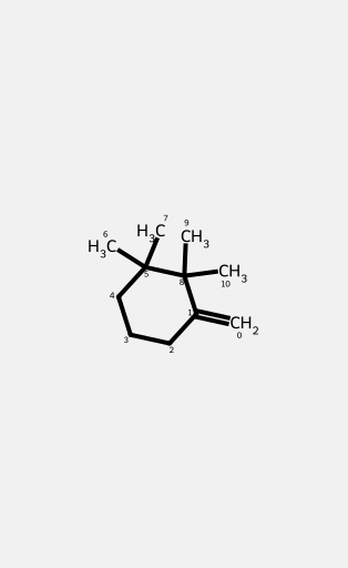 C=C1CCCC(C)(C)C1(C)C